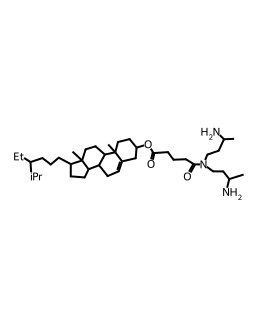 CCC(CCCC1CCC2C3CC=C4CC(OC(=O)CCCC(=O)N(CCC(C)N)CCC(C)N)CCC4(C)C3CCC12C)C(C)C